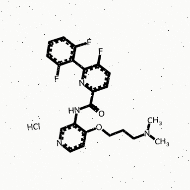 CN(C)CCCOc1ccncc1NC(=O)c1ccc(F)c(-c2c(F)cccc2F)n1.Cl